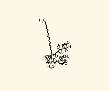 CCCCCCCCCCCCCCCCCN(C[C@H]1O[C@@H](n2ccc(=O)[nH]c2=O)C(OC)C1OP(=O)(OC)OC)C(=O)CC1C(OC)[C@H](n2ccc(=O)[nH]c2=O)O[C@@H]1COC